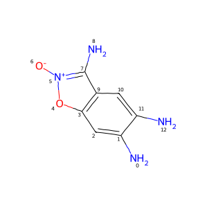 Nc1cc2o[n+]([O-])c(N)c2cc1N